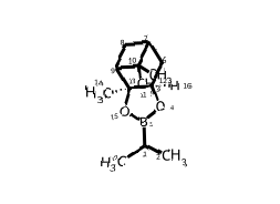 CC(C)B1O[C@@H]2CC3CC(C3(C)C)[C@]2(C)O1